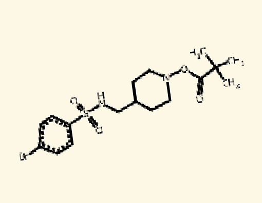 CC(C)(C)C(=O)ON1CCC(CNS(=O)(=O)c2ccc(Br)cc2)CC1